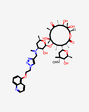 CC[C@H]1OC(=O)[C@H](C)C([C@H]2C[C@@](C)(OC)[C@@H](O)[C@H](C)O2)[C@H](C)[C@@H](O[C@@H]2O[C@H](C)C[C@H](N(C)Cc3cn(CCOc4cccc5ncccc45)nn3)[C@H]2O)[C@](C)(O)C[C@@H](C)C(=O)[C@H](C)[C@@H](O)[C@]1(C)O